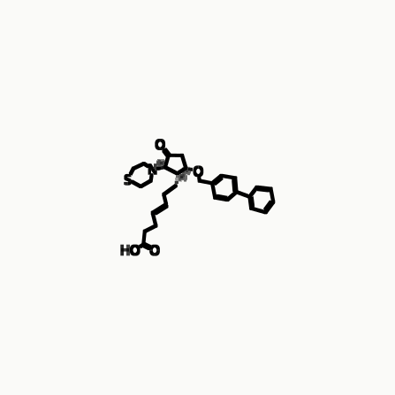 O=C(O)CCC=CCC[C@H]1[C@@H](OCc2ccc(-c3ccccc3)cc2)CC(=O)[C@@H]1N1CCSCC1